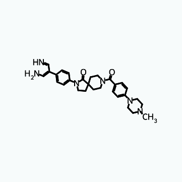 CN1CCN(c2ccc(C(=O)N3CCC4(CC3)CCN(c3ccc(/C(C=N)=C/N)cc3)C4=O)cc2)CC1